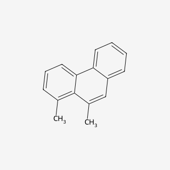 Cc1cccc2c1c(C)cc1ccccc12